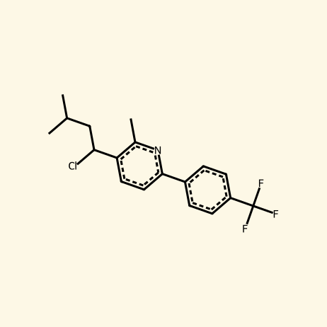 Cc1nc(-c2ccc(C(F)(F)F)cc2)ccc1C(Cl)CC(C)C